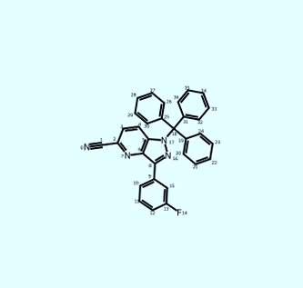 N#Cc1ccc2c(n1)c(-c1cccc(F)c1)nn2C(c1ccccc1)(c1ccccc1)c1ccccc1